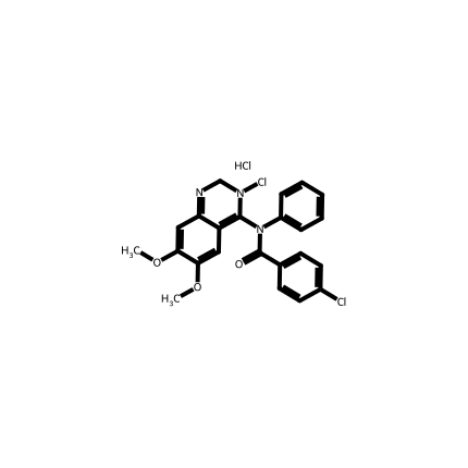 COc1cc2c(cc1OC)=C(N(C(=O)c1ccc(Cl)cc1)c1ccccc1)N(Cl)CN=2.Cl